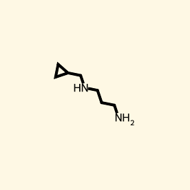 NCCCNCC1CC1